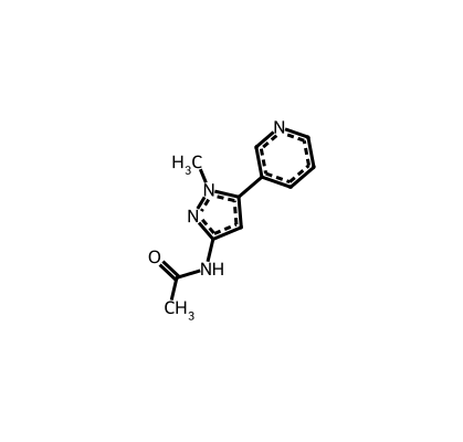 CC(=O)Nc1cc(-c2cccnc2)n(C)n1